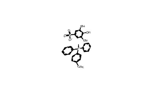 CC(=O)Oc1ccc([P+](C)(c2ccccc2)c2ccccc2)cc1.CC(C)(C)c1cc(S(=O)(=O)[O-])cc(C(C)(C)C)c1O